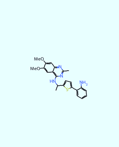 COc1cc2nc(C)nc(NC(C)c3ccc(-c4ccccc4N)s3)c2cc1OC